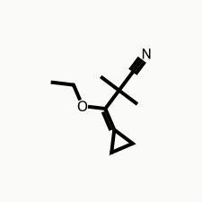 CCOC(=C1CC1)C(C)(C)C#N